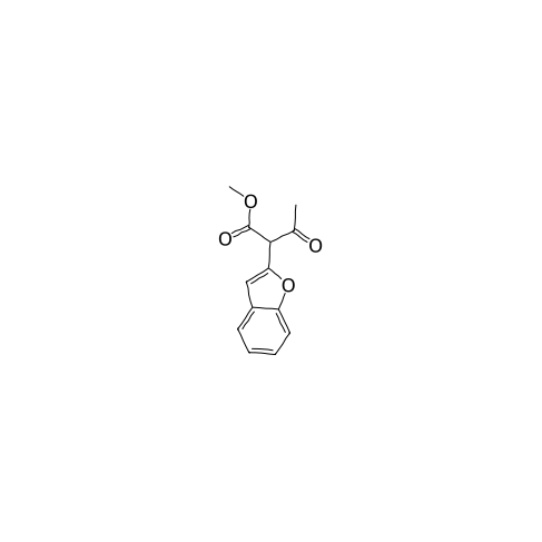 COC(=O)C(C(C)=O)c1cc2ccccc2o1